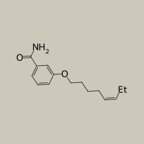 CC/C=C\CCCCOc1cccc(C(N)=O)c1